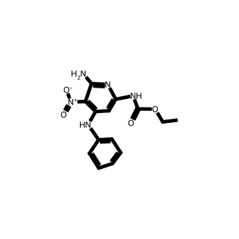 CCOC(=O)Nc1cc(Nc2ccccc2)c([N+](=O)[O-])c(N)n1